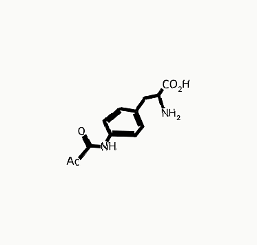 CC(=O)C(=O)Nc1ccc(CC(N)C(=O)O)cc1